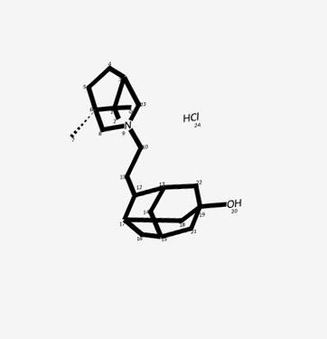 CC1(C)C2CC[C@]1(C)CN(CCC1C3CC4CC1CC(O)(C4)C3)C2.Cl